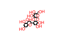 O=C1C[C@@H](c2cc(O)c(O)c(O[C@@H]3O[C@H](CO)[C@@H](O)[C@H](O)[C@H]3O)c2)Oc2cc(O)cc(O)c21